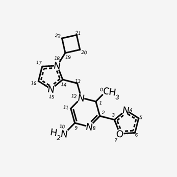 CC1C(c2ncco2)=NC(N)=CN1Cc1nccn1C1CCC1